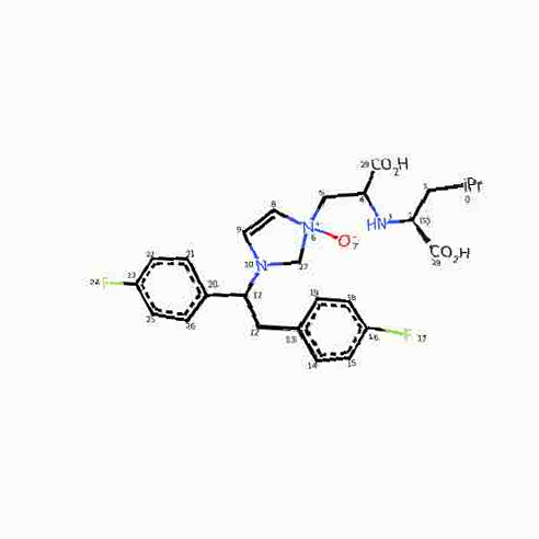 CC(C)C[C@H](NC(C[N+]1([O-])C=CN(C(Cc2ccc(F)cc2)c2ccc(F)cc2)C1)C(=O)O)C(=O)O